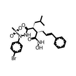 CC(C)C[C@@H](C(=O)NN(c1ccc(Br)cc1)S(C)(=O)=O)[C@H](CC=Cc1ccccc1)C(=O)NO